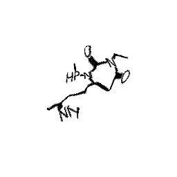 CCn1c(=O)cc(CCC(C)=N)n(PC)c1=O